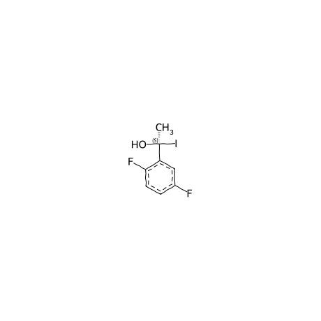 C[C@](O)(I)c1cc(F)ccc1F